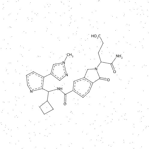 Cn1cc(-c2cccnc2C(NC(=O)c2ccc3c(c2)CN(C(CCC(=O)O)C(N)=O)C3=O)C2CCC2)cn1